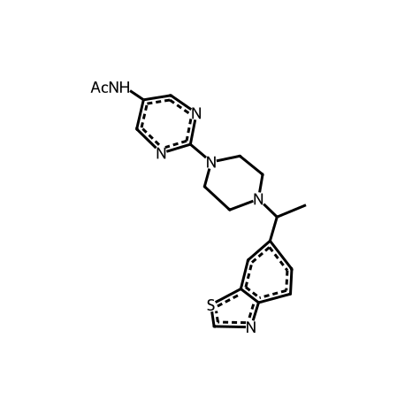 CC(=O)Nc1cnc(N2CCN(C(C)c3ccc4ncsc4c3)CC2)nc1